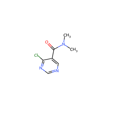 CN(C)C(=O)c1cncnc1Cl